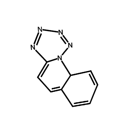 C1=CC2=CC=C3N=NN=NN3C2C=C1